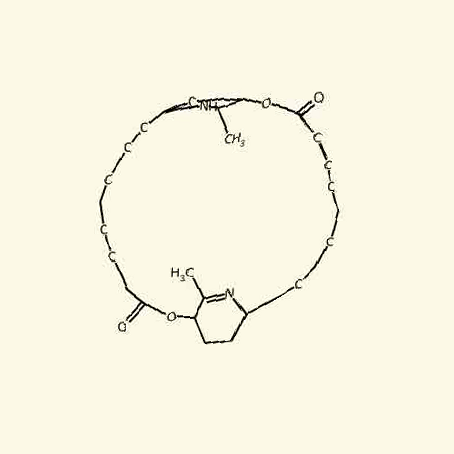 CC1=NC2CCCCCCCC(=O)OC3CCC(CCCCCCCC(=O)OC1CC2)NC3C